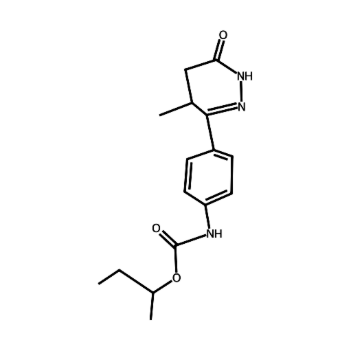 CCC(C)OC(=O)Nc1ccc(C2=NNC(=O)CC2C)cc1